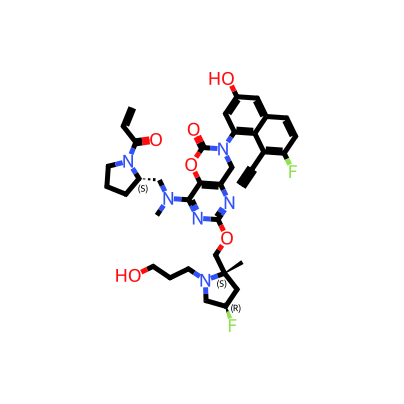 C#Cc1c(F)ccc2cc(O)cc(N3Cc4nc(OC[C@]5(C)C[C@@H](F)CN5CCCO)nc(N(C)C[C@@H]5CCCN5C(=O)C=C)c4OC3=O)c12